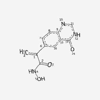 C=C(C(=O)NO)c1ccc2nc[nH]c(=O)c2c1